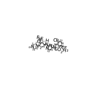 CN1CCN(c2ccc(Nc3nccc(N(Cc4cc(C(F)(F)F)ccc4Cl)C(=O)O)n3)cc2OC(F)F)CC1